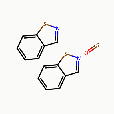 O=S.c1ccc2sncc2c1.c1ccc2sncc2c1